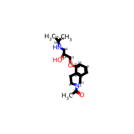 CC(=O)N1CCc2c(cccc2OCC(O)CNC(C)C)C1